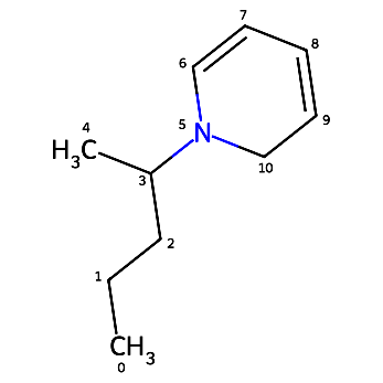 CCCC(C)N1C=CC=CC1